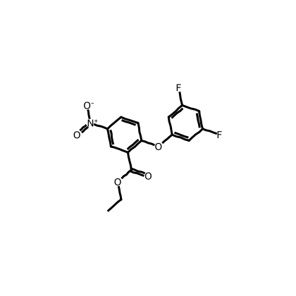 CCOC(=O)c1cc([N+](=O)[O-])ccc1Oc1cc(F)cc(F)c1